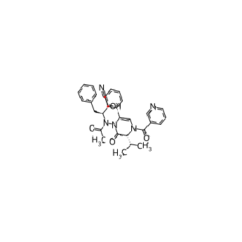 CC(=O)N([C@@H](Cc1ccccc1)C(O)C#N)N1C(=O)[C@@H](C(C)C)N(C(=O)c2cccnc2)C=C1c1ccccc1